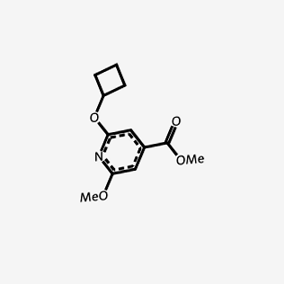 COC(=O)c1cc(OC)nc(OC2CCC2)c1